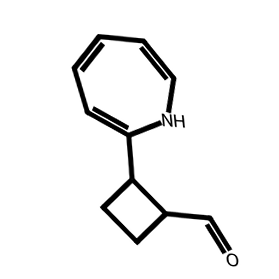 O=CC1CCC1C1=CC=CC=CN1